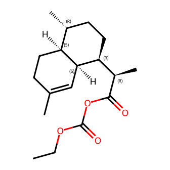 CCOC(=O)OC(=O)[C@H](C)[C@@H]1CC[C@@H](C)[C@@H]2CCC(C)=C[C@@H]21